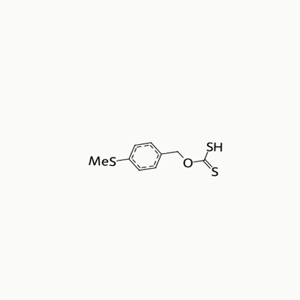 CSc1ccc(COC(=S)S)cc1